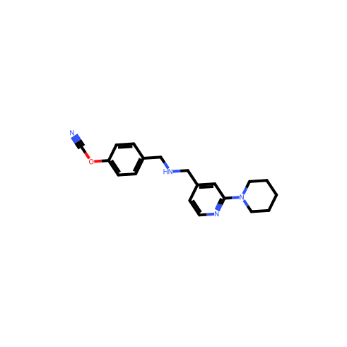 N#COc1ccc(CNCc2ccnc(N3CCCCC3)c2)cc1